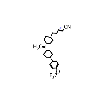 C=C([C@H]1CC[C@H](CC/C=C/C#N)CC1)[C@H]1CC[C@H](c2ccc(OC(F)(F)F)cc2)CC1